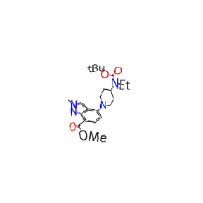 CCN(C(=O)OC(C)(C)C)C1CCN(c2ccc(C(=O)OC)c3nn(C)cc23)CC1